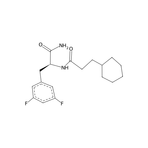 NC(=O)[C@H](Cc1cc(F)cc(F)c1)NC(=O)CCC1CCCCC1